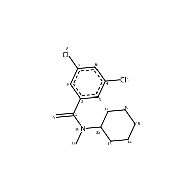 C=C(c1cc(Cl)cc(Cl)c1)N(C)C1CCCCC1